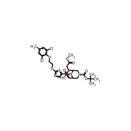 COC(=O)CC1C(c2cnc(OCCOc3c(Cl)cc(C)cc3Cl)s2)=CC2CN(C(=O)OC(C)(C)C)CC1N2C(=O)O